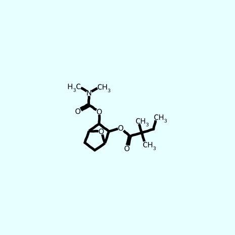 CCC(C)(C)C(=O)OC1C2CCC(O2)C1OC(=O)N(C)C